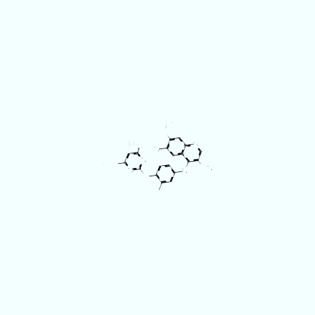 CCOc1cc2ncc(C#N)c(Nc3ccc(Sc4nc(C)cc(C)n4)c(Cl)c3)c2cc1[N+](=O)[O-]